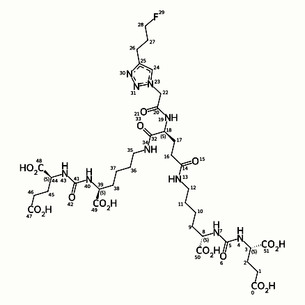 O=C(O)CC[C@H](NC(=O)N[C@@H](CCCCNC(=O)CC[C@H](NC(=O)Cn1cc(CCCF)nn1)C(=O)NCCCC[C@H](NC(=O)N[C@@H](CCC(=O)O)C(=O)O)C(=O)O)C(=O)O)C(=O)O